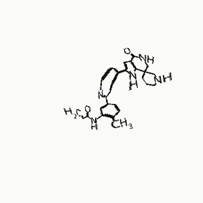 C=CC(=O)Nc1cc(-c2cc(-c3cc4c([nH]3)C3(CCCNC3)CNC4=O)ccn2)ccc1C